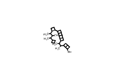 CCC(C)C1CC2CC(C(C)C(C)C3CC4C3C3C5C(C6CCC6C(C)C(C)C(C)C6CCC6)CC5C43)C21